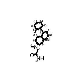 CNC(=O)CN(C)c1ccc2c(-c3ccccc3C)ccnc2c1